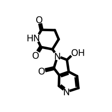 O=C1CCC(N2C(=O)c3cnccc3C2O)C(=O)N1